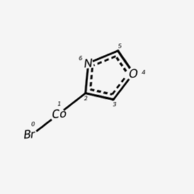 [Br][Co][c]1cocn1